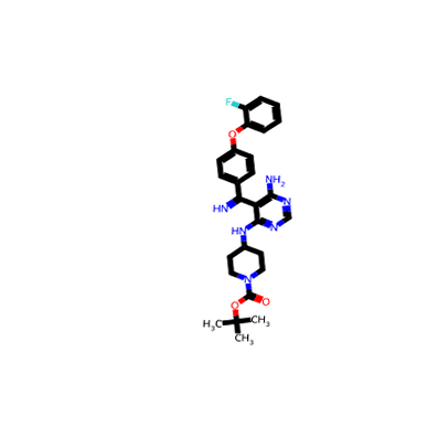 CC(C)(C)OC(=O)N1CCC(Nc2ncnc(N)c2C(=N)c2ccc(Oc3ccccc3F)cc2)CC1